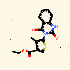 CCOC(=O)c1csc(-n2c(=O)[nH]c3ccccc3c2=O)c1C